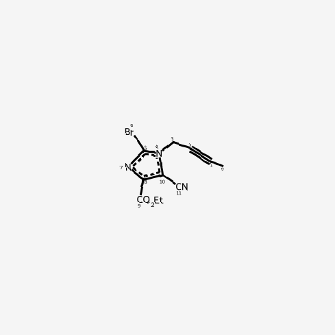 CC#CCn1c(Br)nc(C(=O)OCC)c1C#N